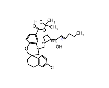 CCC/C=C/[C@H](O)[C@@H]1CC[C@H]1CN1CC2(CCCc3cc(Cl)ccc32)COc2ccc(C(=O)OC(C)(C)C)cc21